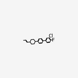 CC=CC1CCC(c2ccc(-c3ccc(F)c(Cl)c3)cc2)CC1